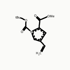 C=Cc1cc(C(=O)OC)n(C(=O)OC(C)(C)C)c1